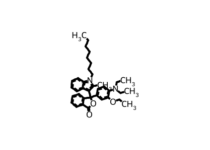 CCCCCCCCn1c(C)c(C2(c3ccc(N(CC)CC)c(OCC)c3)OC(=O)c3ccccc32)c2ccccc21